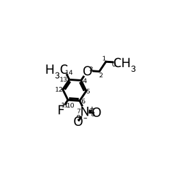 CCCOc1cc([N+](=O)[O-])c(F)cc1C